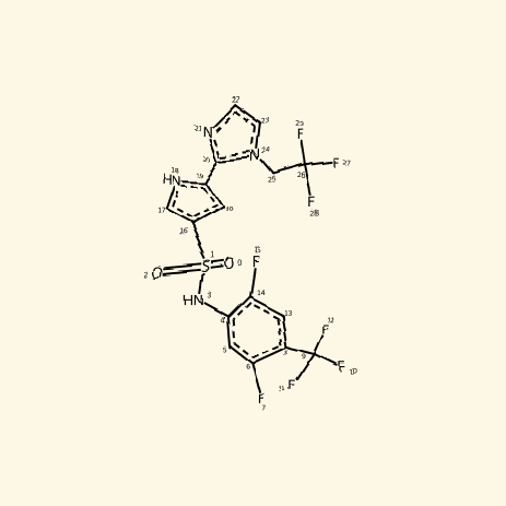 O=S(=O)(Nc1cc(F)c(C(F)(F)F)cc1F)c1c[nH]c(-c2nccn2CC(F)(F)F)c1